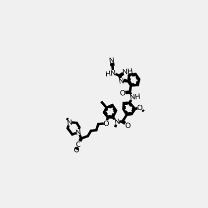 COc1cc(C(=O)N(C)c2ccc(C)cc2OCCCCC(=C=O)N2CCN(C)CC2)ccc1NC(=O)c1cccc2[nH]c(NC#N)nc12